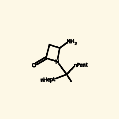 CCCCCCCC(C)(CCCCC)N1C(=O)CC1N